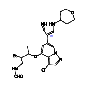 CCC(CNC=O)C(C)Oc1cc(/C(C=N)=C/NC2CCOCC2)cn2ncc(Cl)c12